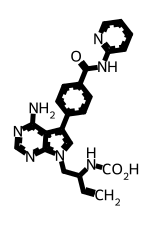 C=CC(Cn1cc(-c2ccc(C(=O)Nc3ccccn3)cc2)c2c(N)ncnc21)NC(=O)O